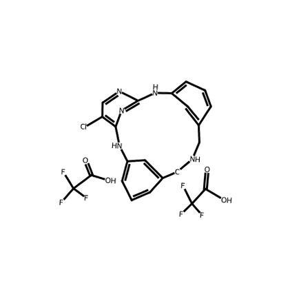 Clc1cnc2nc1Nc1cccc(c1)CNCc1cccc(c1)N2.O=C(O)C(F)(F)F.O=C(O)C(F)(F)F